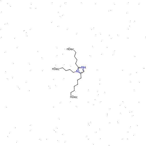 CCCCCCCCCCCCCCCCc1c[nH]c(CCCCCCCCCCCCCC)[n+]1CCCCCCCCCCCCCC